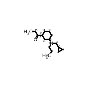 CCCN(CC1CC1)C1CCCC(C(=O)CC)C1